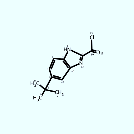 CC(C)(C)c1ccc2[nH]c(C(=O)Cl)nc2c1